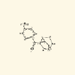 CC(C)(C)c1ccc(C(=O)C2CN3CCC2CC3)cc1